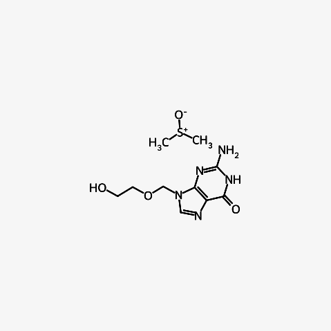 C[S+](C)[O-].Nc1nc2c(ncn2COCCO)c(=O)[nH]1